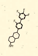 CCCC1CCC2CC(c3ccc(-c4cc(F)c(F)c(F)c4)c(F)c3)CCC2C1